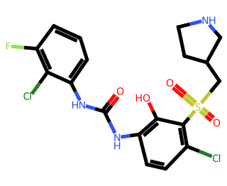 O=C(Nc1ccc(Cl)c(S(=O)(=O)CC2CCNC2)c1O)Nc1cccc(F)c1Cl